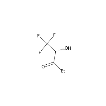 CCC(=O)[C@@H](O)C(F)(F)F